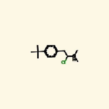 C[SiH](C)C(Cl)Cc1ccc(C(C)(C)C)cc1